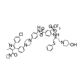 Cc1c(C(=O)N2CCC2)c(-c2cccc(N3CCN(c4ccc(NS(=O)(=O)c5ccc(N[C@H](CCN6CCC(O)CC6)CSc6ccccc6)c(S(=O)(=O)C(F)(F)F)c5)cc4)CC3)c2)c(-c2ccc(Cl)cc2)n1C